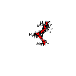 CCCC(CC)(SC)C1CC(=O)N(CCOCCOCCOCCC(=O)N[C@H](C(=O)N[C@@H](CCCNC(N)=O)C(=O)Nc2ccc(C[S+]([O-])NC(=O)[C@H](C)[C@@H](OC)[C@@H]3CCCN3C(=O)C[C@@H](OC)[C@H]([C@@H](C)CC)N(C)C(=O)[C@@H](NC(=O)[C@H](C(C)C)N(C)C)C(C)C)cc2)C(C)C)C1=O